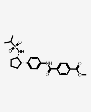 COC(=O)c1ccc(C(=O)Nc2ccc([C@@H]3CCC[C@@H]3NS(=O)(=O)C(C)C)cc2)cc1